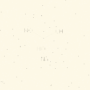 CCO.[Na+].[OH-]